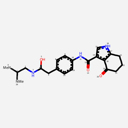 CNC(CNC(O)Cc1ccc(NC(=O)c2c[nH]c3c2C(=O)CCC3)cc1)NC